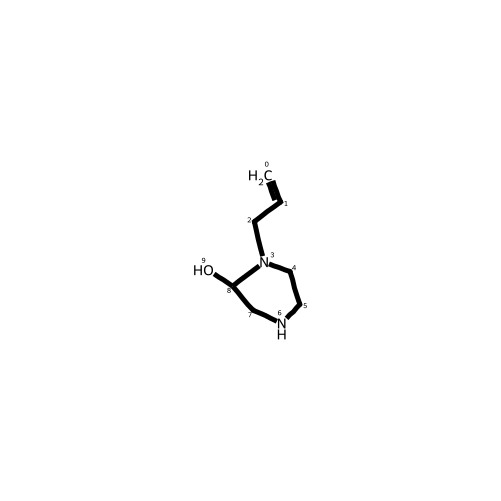 C=CCN1CCNCC1O